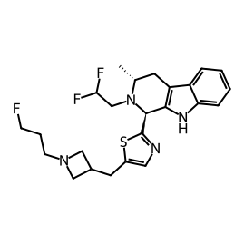 C[C@@H]1Cc2c([nH]c3ccccc23)[C@@H](c2ncc(CC3CN(CCCF)C3)s2)N1CC(F)F